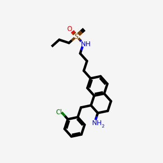 C=S(=O)(CCC)NCCCc1ccc2c(c1)C(Cc1ccccc1Cl)C(N)CC2